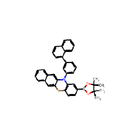 CC1(C)OB(c2ccc3c(c2)N(c2cccc(-c4cccc5ccccc45)c2)c2cc4ccccc4cc2S3)OC1(C)C